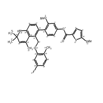 COc1cc(OC(=O)c2ccc(SC)s2)ccc1-c1ccc2c(c1COc1cc(F)ccc1C)C(C)=CC(C)(C)N2